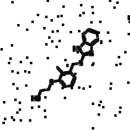 Cc1c(CSc2nc3ccccc3[nH]2)cccc1SCCO